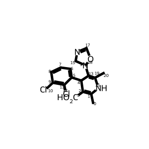 CC1=C(C(=O)O)C(c2cccc(Cl)c2Cl)C(N2CN=CO2)=C(C)N1